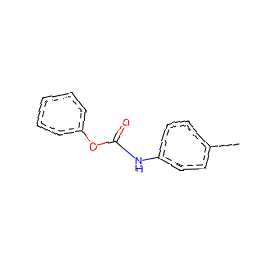 Cc1ccc(NC(=O)Oc2ccccc2)cc1